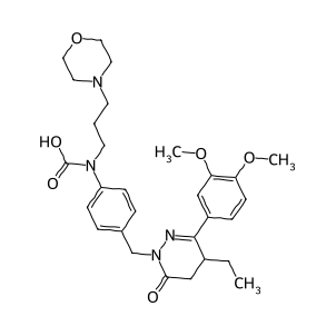 CCC1CC(=O)N(Cc2ccc(N(CCCN3CCOCC3)C(=O)O)cc2)N=C1c1ccc(OC)c(OC)c1